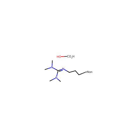 CCCCCCCCCCCCN=C(N(C)C)N(C)C.O=C(O)O